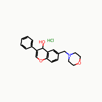 Cl.OC1C(c2ccccc2)=COc2ccc(CN3CCOCC3)cc21